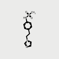 CS(=O)(=O)Nc1ccc(CCn2ccnc2)cc1